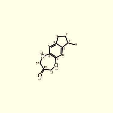 CC1CCc2cc3c(cc21)OCC(=O)CO3